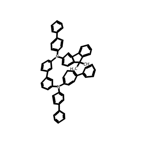 CC1(C)c2ccccc2-c2cc(N(c3ccc(-c4ccccc4)cc3)c3cccc(-c4cccc(N(C5=CCC=C(c6ccccc6)C=C5)c5ccc(-c6ccccc6)cc5)c4)c3)ccc21